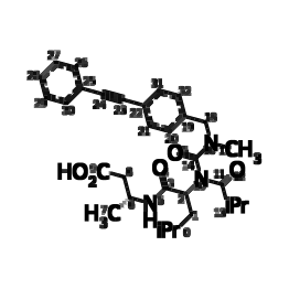 CC(C)CC(C(=O)N[C@H](C)CC(=O)O)N(C(=O)C(C)C)C(=O)N(C)Cc1ccc(C#Cc2ccccc2)cc1